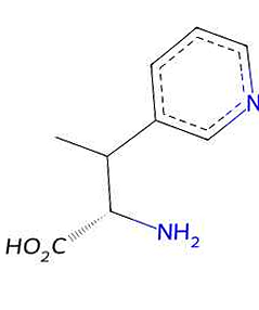 CC(c1cccnc1)[C@H](N)C(=O)O